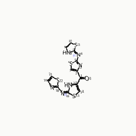 O=C(c1csc(/N=c2\[nH]ccs2)n1)c1cs/c(=N/c2nccs2)[nH]1